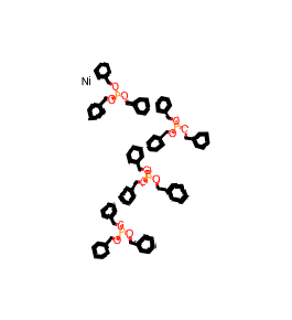 [Ni].c1ccc(COP(OCc2ccccc2)OCc2ccccc2)cc1.c1ccc(COP(OCc2ccccc2)OCc2ccccc2)cc1.c1ccc(COP(OCc2ccccc2)OCc2ccccc2)cc1.c1ccc(COP(OCc2ccccc2)OCc2ccccc2)cc1